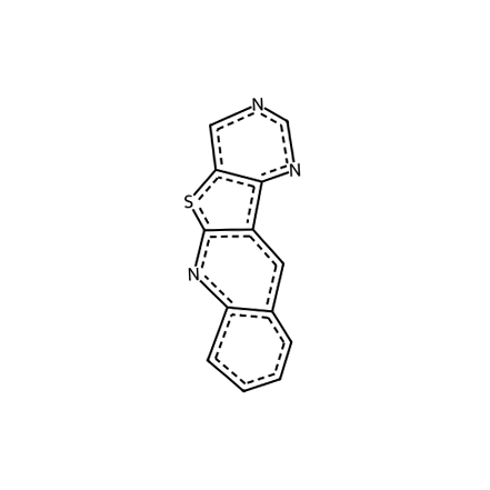 c1ccc2nc3sc4cncnc4c3cc2c1